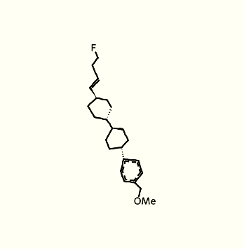 COCc1ccc([C@H]2CC[C@H]([C@H]3CC[C@H](C=CCCF)CC3)CC2)cc1